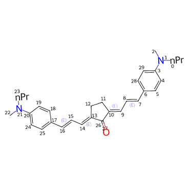 CCCN(C)c1ccc(/C=C/C=C2\CC/C(=C\C=C\c3ccc(N(C)CCC)cc3)C2=O)cc1